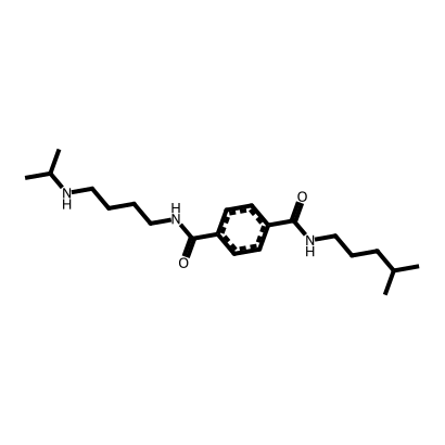 CC(C)CCCNC(=O)c1ccc(C(=O)NCCCCNC(C)C)cc1